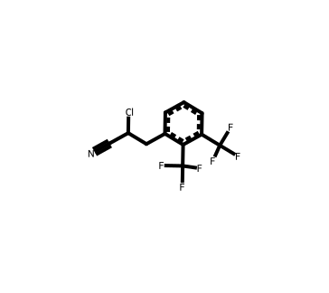 N#CC(Cl)Cc1cccc(C(F)(F)F)c1C(F)(F)F